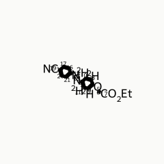 [2H]c1c([2H])c(OCC(=O)OCC)c([2H])c([2H])c1N=Nc1ccc(C#N)cc1